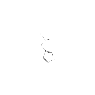 CC(C)N(Cc1cc[nH]c1)C(C)(C)C